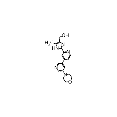 Cc1[nH]c(-c2cc(-c3cncc(N4CCOCC4)c3)ccn2)nc1CO